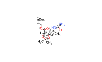 CCCCCCCCCCCCO[C@H]1O[C@H]([C@H](C)NC(N)=O)[C@@H]2OC(C)(C)O[C@H]12